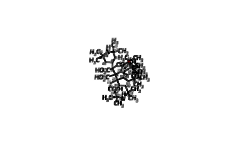 CC1(C)CC(C(C(=O)O)(C(=O)O)C(C(=O)O)(C2CC(C)(C)NC(C)(C)C2)C(CC(=O)O)(C2CC(C)(C)NC(C)(C)C2)C2CC(C)(C)NC(C)(C)C2)CC(C)(C)N1